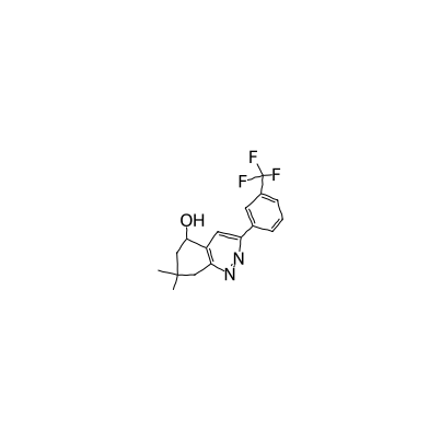 CC1(C)Cc2nnc(-c3cccc(C(F)(F)F)c3)cc2C(O)C1